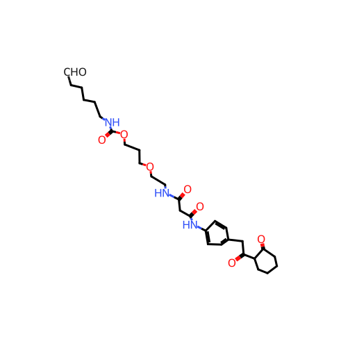 O=CCCCCCNC(=O)OCCCOCCNC(=O)CC(=O)Nc1ccc(CC(=O)C2CCCCC2=O)cc1